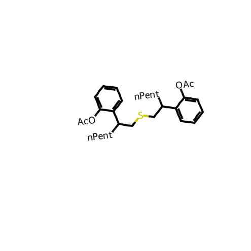 CCCCCC(CSCC(CCCCC)c1ccccc1OC(C)=O)c1ccccc1OC(C)=O